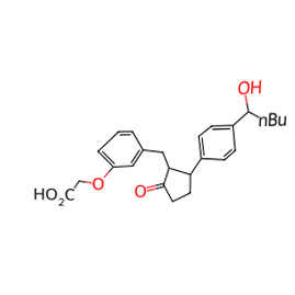 CCCCC(O)c1ccc(C2CCC(=O)C2Cc2cccc(OCC(=O)O)c2)cc1